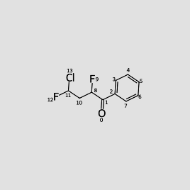 O=C(c1ccccc1)C(F)CC(F)Cl